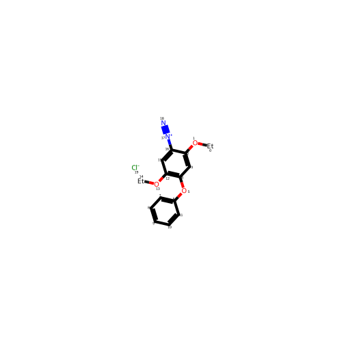 CCOc1cc(Oc2ccccc2)c(OCC)cc1[N+]#N.[Cl-]